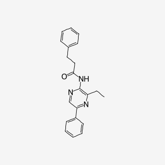 CCc1nc(-c2ccccc2)cnc1NC(=O)CCc1ccccc1